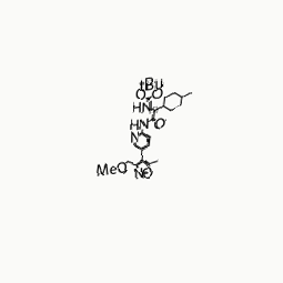 COCc1noc(C)c1-c1ccc(NC(=O)[C@@H](NC(=O)OC(C)(C)C)C2CCC(C)CC2)nc1